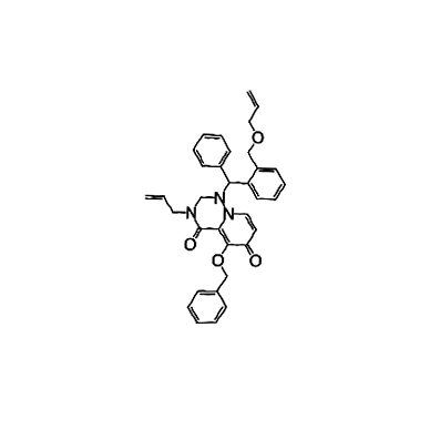 C=CCOCc1ccccc1C(c1ccccc1)N1CN(CC=C)C(=O)c2c(OCc3ccccc3)c(=O)ccn21